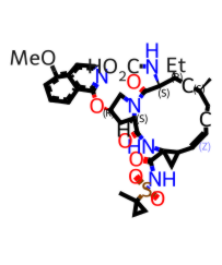 CC[C@@H]1C[C@@H](C)CC/C=C\C2CC2(C(=O)NS(=O)(=O)C2(C)CC2)NC(=O)[C@@H]2C[C@@H](Oc3nccc4c(OC)cccc34)CN2C(=O)[C@H]1NC(=O)O